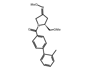 COC[C@@H]1C/C(=N/OC)CN1C(=O)c1ccc(-c2ccccc2C)cc1